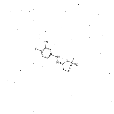 CS(=O)(=O)OC(CF)=NNc1ccc(F)c(C#N)c1